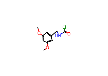 COc1cc(CNC(=O)Cl)cc(OC)c1